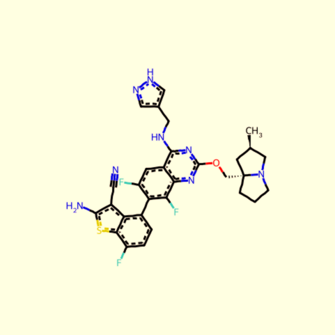 C[C@H]1CN2CCC[C@@]2(COc2nc(NCc3cn[nH]c3)c3cc(F)c(-c4ccc(F)c5sc(N)c(C#N)c45)c(F)c3n2)C1